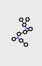 c1ccc(-c2ccc(N(c3ccccc3)c3cccc(-c4ccc5c6ccccc6n(-c6ccc(-c7ccccc7)c(-c7ccccc7)c6)c5c4)c3)cc2)cc1